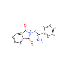 N[C@H](CN1C(=O)c2ccccc2C1=O)c1ccccc1